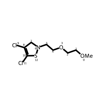 COCCOCCN1CC(Cl)=C(Cl)S1